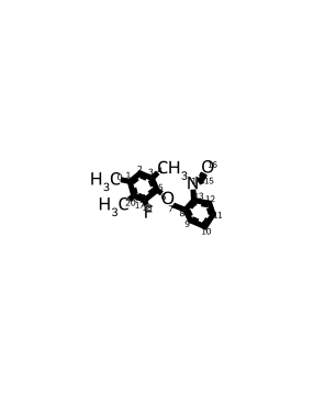 Cc1cc(C)c(OCc2ccccc2N=C=O)c(F)c1C